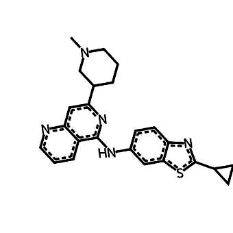 CN1CCCC(c2cc3ncccc3c(Nc3ccc4nc(C5CC5)sc4c3)n2)C1